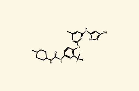 Cc1cc(Nc2cc(O)n[nH]2)nc(Oc2ccc(NC(=O)NC3CCN(C)CC3)cc2C(F)(F)F)n1